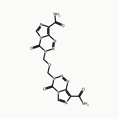 NC(=O)c1ncn2c(=O)n(COCn3nnc4c(C(N)=O)ncn4c3=O)nnc12